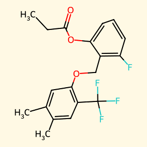 CCC(=O)Oc1cccc(F)c1COc1cc(C)c(C)cc1C(F)(F)F